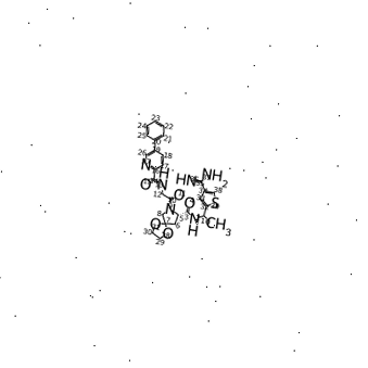 CC(NC(=O)[C@@H]1CC2(CN1C(=O)CNC(=O)c1ccc(-c3ccccc3)cn1)OCCO2)c1cc(C(=N)N)cs1